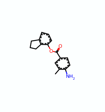 Cc1cc(C(=O)Oc2cccc3c2CCC3)ccc1N